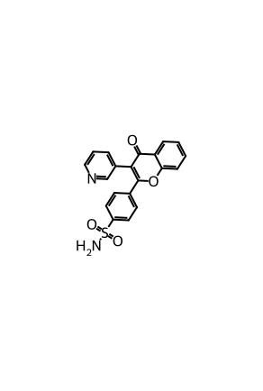 NS(=O)(=O)c1ccc(-c2oc3ccccc3c(=O)c2-c2cccnc2)cc1